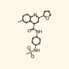 Cc1ccc2nc(-c3ccco3)cc(C(=O)Nc3ccc(NS(C)(=O)=O)cc3)c2c1